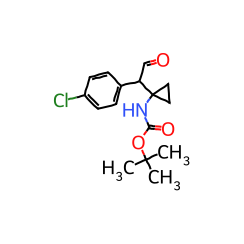 CC(C)(C)OC(=O)NC1(C(C=O)c2ccc(Cl)cc2)CC1